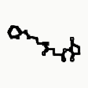 O=C(CCC(=O)ON1C(=O)CCC1=O)NCCSSc1ccccn1